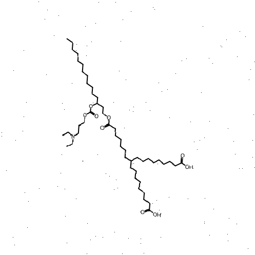 CCCCCCCCCCCCC(CCOC(=O)CCCCCCC(CCCCCCCCC(=O)O)CCCCCCCCC(=O)O)OC(=O)OCCCN(CC)CC